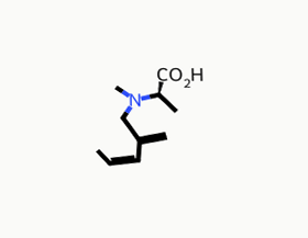 C=C(/C=C\C)CN(C)[C@H](C)C(=O)O